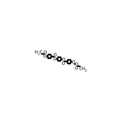 C=CC(=O)OCOc1ccc(C(=O)Oc2ccc(OC(=O)c3ccc(OC(=O)C=C)cc3)cc2)cc1